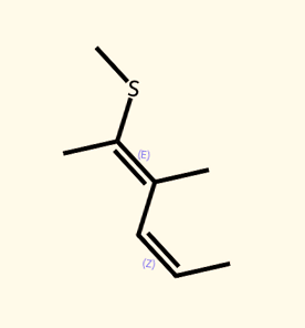 C/C=C\C(C)=C(/C)SC